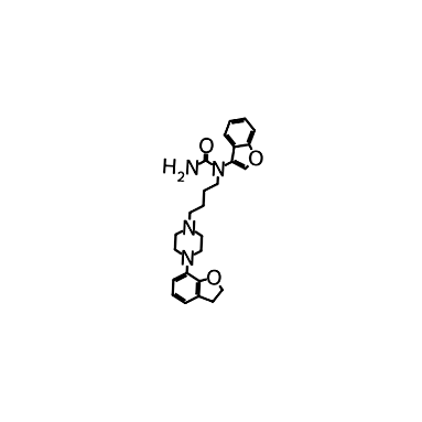 NC(=O)N(CCCCN1CCN(c2cccc3c2OCC3)CC1)c1coc2ccccc12